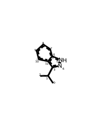 CC(C)c1n[nH]c2ccc[c]c12